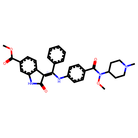 COC(=O)c1ccc2c(c1)NC(=O)/C2=C(\Nc1ccc(C(=O)N(OC)C2CCN(C)CC2)cc1)c1ccccc1